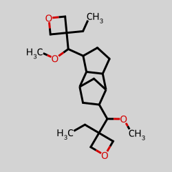 CCC1(C(OC)C2CC3CC2C2CCC(C(OC)C4(CC)COC4)C32)COC1